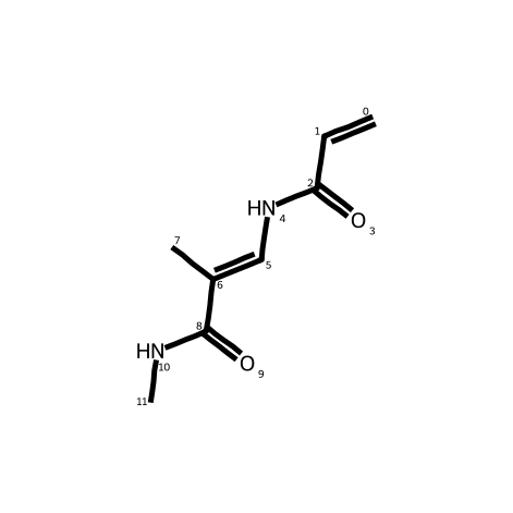 C=CC(=O)N/C=C(\C)C(=O)NC